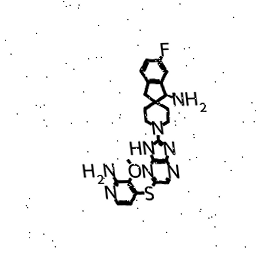 COc1c(Sc2cnc3nc(N4CCC5(CC4)Cc4ccc(F)cc4[C@H]5N)[nH]c3n2)ccnc1N